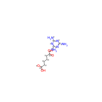 Nc1nc(N)nc(N)n1.O=C(O)CCCCC(=O)O